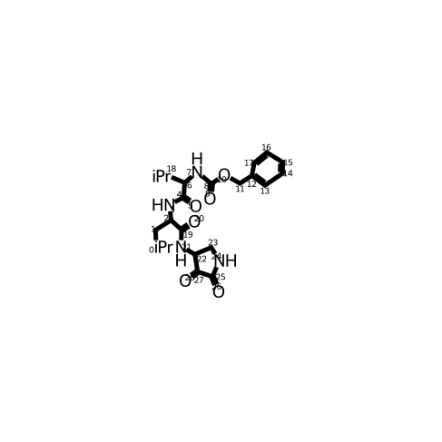 CC(C)CC(NC(=O)C(NC(=O)OCc1ccccc1)C(C)C)C(=O)NC1CNC(=O)C1=O